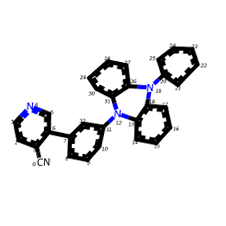 N#Cc1ccncc1-c1cccc(N2c3ccccc3N(c3ccccc3)c3ccccc32)c1